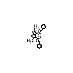 Cc1sc2sc(C)c(C(=O)OCc3ccccc3)c2c1C(=O)OCc1ccccc1